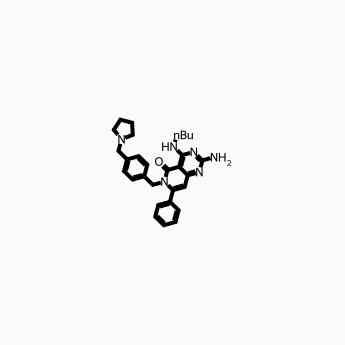 CCCCNc1nc(N)nc2cc(-c3ccccc3)n(Cc3ccc(CN4CCCC4)cc3)c(=O)c12